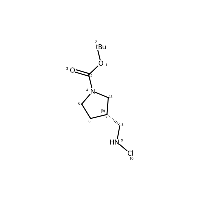 CC(C)(C)OC(=O)N1CC[C@@H](CNCl)C1